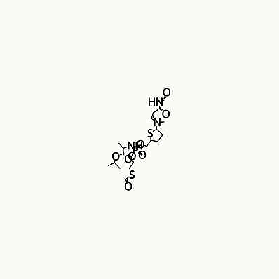 CC(C)OC(=O)C(C)N[P@](=O)(OCCSC=O)OCC1CCC(N(C)/C=C\C(=O)NC=O)S1